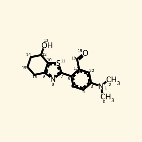 CN(C)c1ccc(-c2nc3c(s2)C(O)CCC3)c(C=O)c1